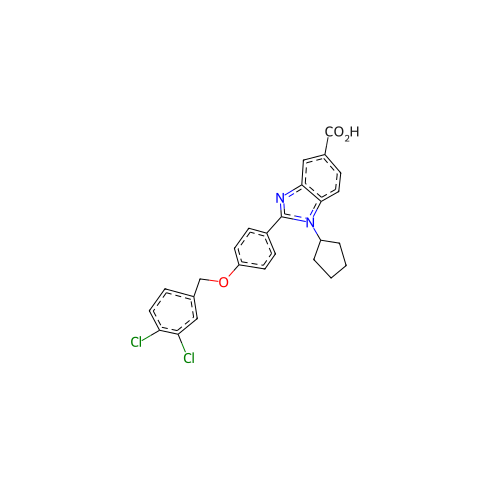 O=C(O)c1ccc2c(c1)nc(-c1ccc(OCc3ccc(Cl)c(Cl)c3)cc1)n2C1CCCC1